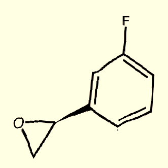 Fc1cc[c]c([C@H]2CO2)c1